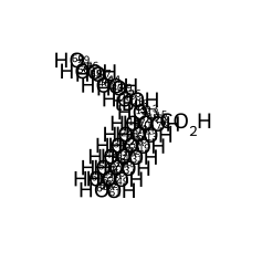 CC(C)(C)CCCCCC(=O)O.OCC(O)CO.OCC(O)CO.OCC(O)CO.OCC(O)CO.OCC(O)CO.OCC(O)CO.OCC(O)CO.OCC(O)CO.OCC(O)CO.OCC(O)CO